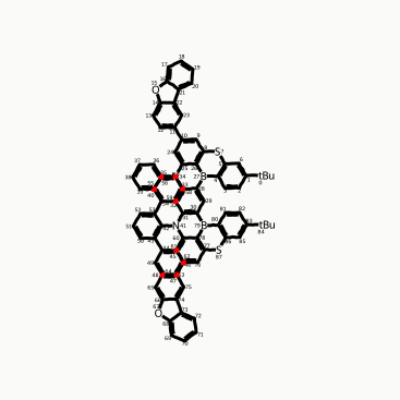 CC(C)(C)c1ccc2c(c1)Sc1cc(-c3ccc4oc5ccccc5c4c3)cc3c1B2c1cc2c(cc1N3c1ccccc1)N(c1c(-c3ccccc3)cccc1-c1ccccc1)c1cc(-c3ccc4oc5ccccc5c4c3)cc3c1B2c1ccc(C(C)(C)C)cc1S3